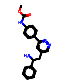 COC(=O)Nc1ccc(-c2cc(CC(N)c3ccccc3)cnn2)cc1